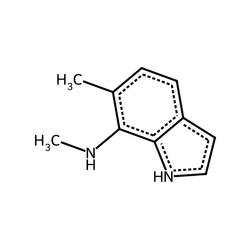 CNc1c(C)ccc2cc[nH]c12